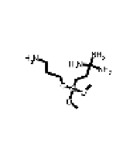 CO[Si](CCC(N)(N)N)(OC)OCCCN